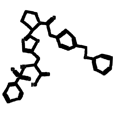 O=C(O)C(Cc1cnc(C2CCCN2C(=O)Cc2ccc(COc3ccccc3)cc2)o1)NS(=O)(=O)c1ccccc1